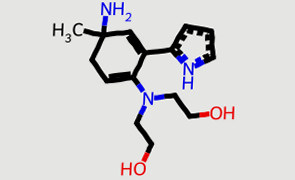 CC1(N)C=C(c2ccc[nH]2)C(N(CCO)CCO)=CC1